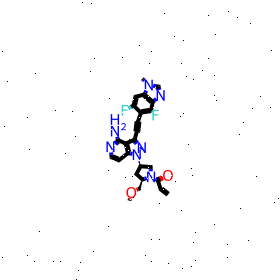 C=CC(=O)N1C[C@@H](n2nc(C#Cc3c(F)cc4c(ncn4C)c3F)c3c(N)nccc32)C[C@@H]1COC